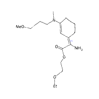 CCOCCOC(=O)/C(N)=C1\C=C(N(C)CCCOC)CCC1